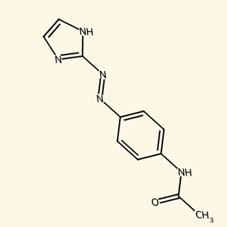 CC(=O)Nc1ccc(N=Nc2ncc[nH]2)cc1